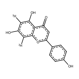 [2H]c1c(O)c([2H])c2oc(-c3ccc(O)cc3)cc(=O)c2c1O